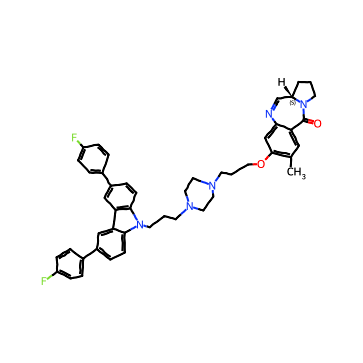 Cc1cc2c(cc1OCCCN1CCN(CCCn3c4ccc(-c5ccc(F)cc5)cc4c4cc(-c5ccc(F)cc5)ccc43)CC1)N=C[C@@H]1CCCN1C2=O